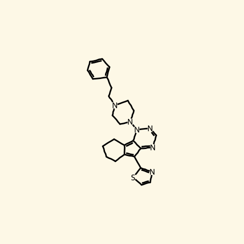 c1ccc(CCN2CCN(n3ncnc4c(-c5nccs5)c5c(c3-4)CCCC5)CC2)cc1